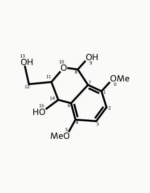 COc1ccc(OC)c2c1C(O)OC(CO)C2O